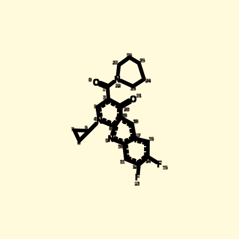 O=C(c1cn(C2CC2)c2nc3cc(F)c(F)cc3cc2c1=O)N1CCCCC1